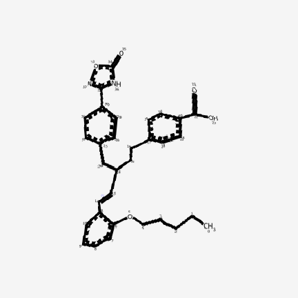 CCCCCOc1ccccc1/C=C/C(CCc1ccc(C(=O)O)cc1)Cc1ccc(-c2noc(=O)[nH]2)cc1